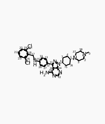 CN1CCN([C@H]2CC[C@@H](n3nc(-c4ccc(NCc5c(Cl)cccc5Cl)cc4)c4c(N)ncnc43)CC2)CC1